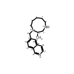 C[C@@H]1CNCCCCCN1Cc1ccc2cnccc2c1